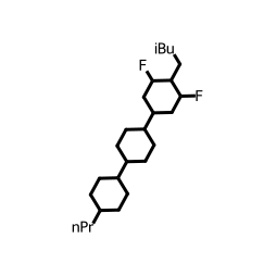 CCCC1CCC(C2CCC(C3CC(F)C(CC(C)CC)C(F)C3)CC2)CC1